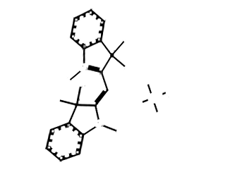 CN1/C(=C/C2=[N+](C)c3ccccc3C2(C)C)C(C)(C)c2ccccc21.[O-][Cl+3]([O-])([O-])[O-]